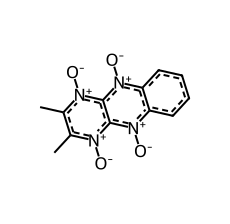 Cc1c(C)[n+]([O-])c2c([n+]1[O-])[n+]([O-])c1ccccc1[n+]2[O-]